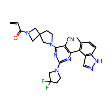 C=CC(=O)N1CC2(CCN(c3nc(N4CCC(F)(F)C4)nc(-c4c(C)ccc5[nH]ncc45)c3C#N)C2)C1